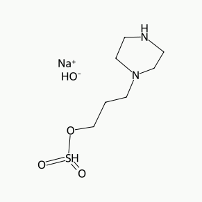 O=[SH](=O)OCCCN1CCNCC1.[Na+].[OH-]